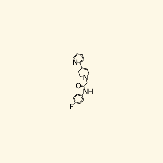 O=C(CN1CC=C(c2ccccn2)CC1)Nc1ccc(F)cc1